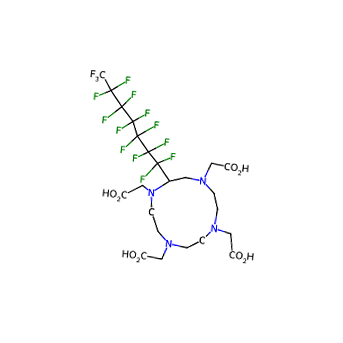 O=C(O)CN1CCN(CC(=O)O)CCN(CC(=O)O)C(C(F)(F)C(F)(F)C(F)(F)C(F)(F)C(F)(F)C(F)(F)C(F)(F)F)CN(CC(=O)O)CC1